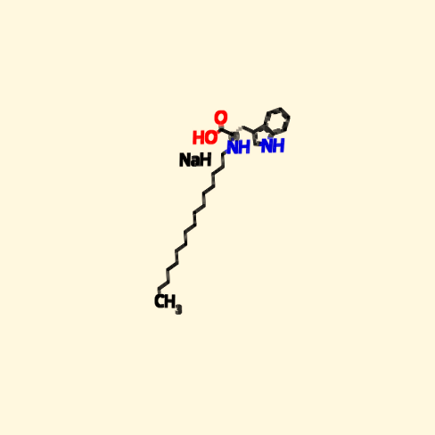 CCCCCCCCCCCCCCCCN[C@@H](Cc1c[nH]c2ccccc12)C(=O)O.[NaH]